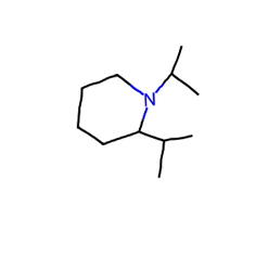 CC(C)C1CCCCN1C(C)C